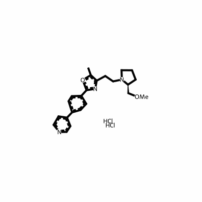 COC[C@@H]1CCCN1CCc1nc(-c2ccc(-c3ccncc3)cc2)oc1C.Cl.Cl